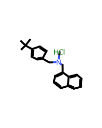 CN(Cc1ccc(C(C)(C)C)cc1)Cc1cccc2ccccc12.Cl